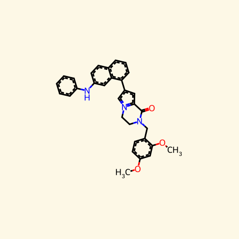 COc1ccc(CN2CCn3cc(-c4cccc5ccc(Nc6ccccc6)cc45)cc3C2=O)c(OC)c1